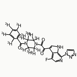 [2H]c1c([2H])c([2H])c(C(=O)N2C([2H])([2H])C([2H])([2H])N(C(=O)C(=O)c3c[nH]c4c(-n5ccnn5)ncc(F)c34)C([2H])([2H])C2([2H])[2H])c([2H])c1[2H]